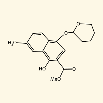 COC(=O)c1cc(OC2CCCCO2)c2ccc(C)cc2c1O